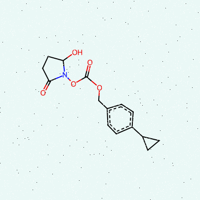 O=C(OCc1ccc(C2CC2)cc1)ON1C(=O)CCC1O